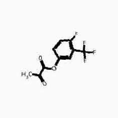 CC(=O)C(=O)Oc1ccc(F)c(C(F)(F)F)c1